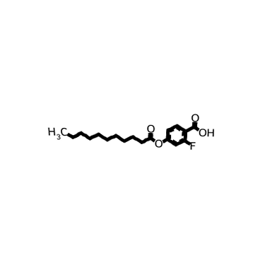 CCCCCCCCCCC(=O)Oc1ccc(C(=O)O)c(F)c1